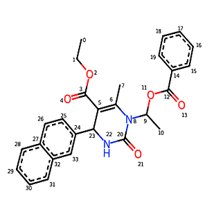 CCOC(=O)C1=C(C)N(C(C)OC(=O)c2ccccc2)C(=O)NC1c1ccc2ccccc2c1